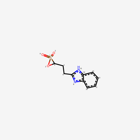 O=S1(=O)OC1CCc1nc2ccccc2[nH]1